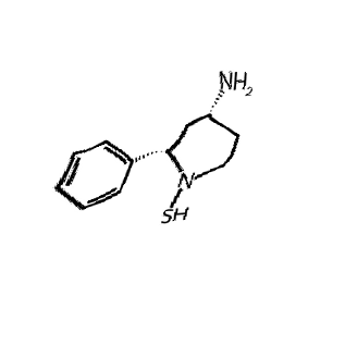 N[C@@H]1CCN(S)[C@H](c2ccccc2)C1